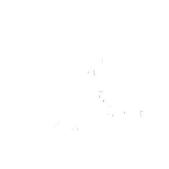 COc1ccc(CCNC(=O)/C(=C\OC(F)F)c2ccc(Cl)c(Cl)c2)cc1OC